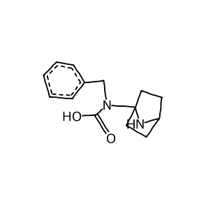 O=C(O)N(Cc1ccccc1)C12CCC(CC1)N2